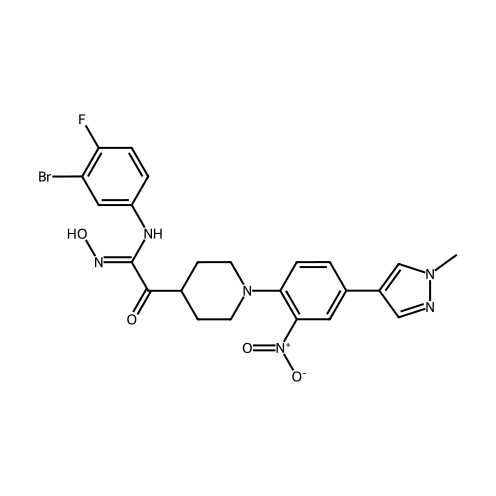 Cn1cc(-c2ccc(N3CCC(C(=O)/C(=N/O)Nc4ccc(F)c(Br)c4)CC3)c([N+](=O)[O-])c2)cn1